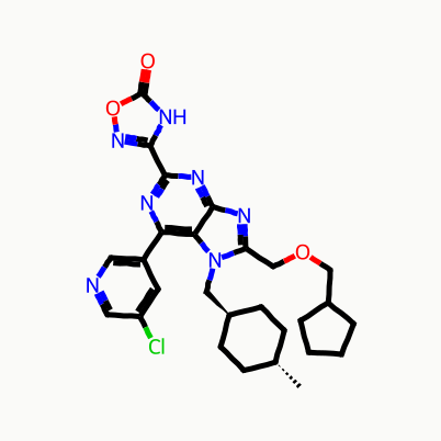 C[C@H]1CC[C@H](Cn2c(COCC3CCCC3)nc3nc(-c4noc(=O)[nH]4)nc(-c4cncc(Cl)c4)c32)CC1